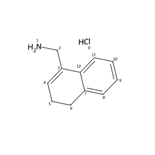 Cl.NCC1=CCCc2ccccc21